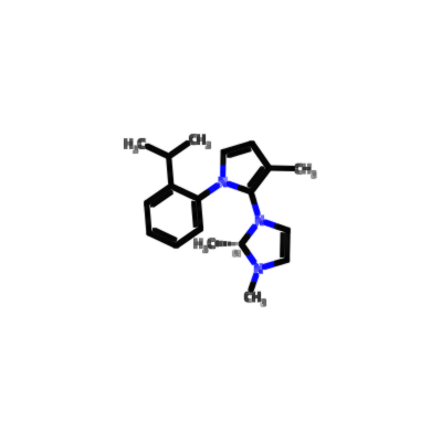 Cc1ccn(-c2ccccc2C(C)C)c1N1C=CN(C)[C@@H]1C